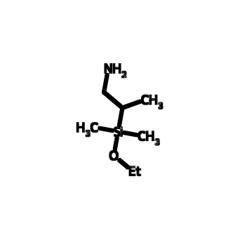 CCO[Si](C)(C)C(C)CN